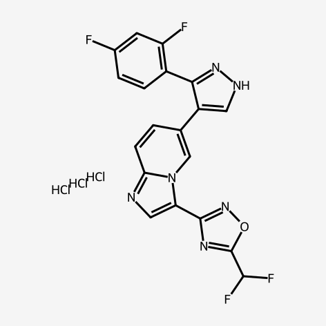 Cl.Cl.Cl.Fc1ccc(-c2n[nH]cc2-c2ccc3ncc(-c4noc(C(F)F)n4)n3c2)c(F)c1